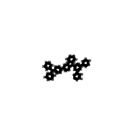 c1ccc(-c2cc(-c3ccccc3)nc(-n3c4ccccc4c4cc(-c5ccc(N(c6ccccc6)c6ccccc6)cc5)ccc43)n2)cc1